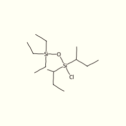 CCC(C)[Si](Cl)(O[Si](CC)(CC)CC)C(C)CC